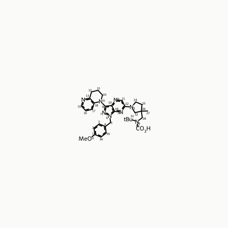 COc1ccc(Cn2nc(N3CCCc4ncccc43)c3ncc(N4CCC(C)(CN(C(=O)O)C(C)(C)C)C4)nc32)cc1